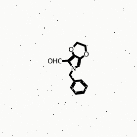 O=Cc1c2c(cn1Cc1ccccc1)OCCO2